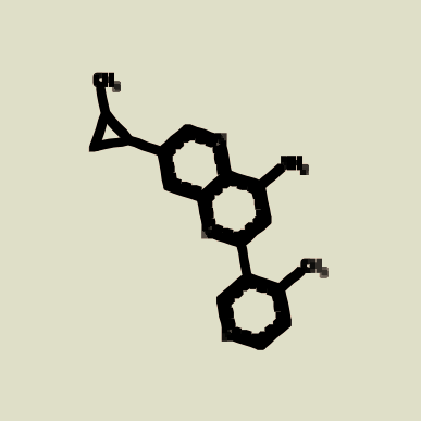 Cc1ccncc1-c1cc(N)c2ncc(C3CC3C)cc2n1